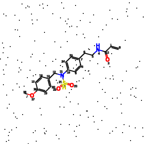 C=CC(=O)NCCc1ccc(N(Cc2ccc(OC)cc2)[SH](=O)=O)cc1